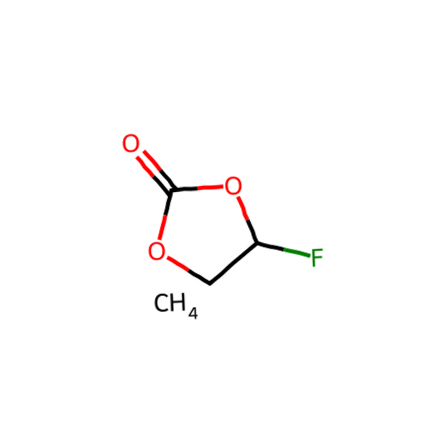 C.O=C1OCC(F)O1